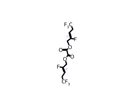 O=C(OC/C(F)=C/CC(F)(F)F)C(=O)OC/C(F)=C/CC(F)(F)F